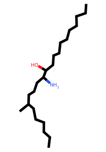 CCCCCCCCCCC(O)C(N)CCCC(C)CCCCCC